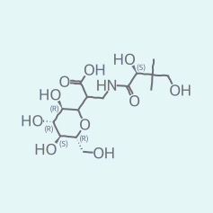 CC(C)(CO)[C@H](O)C(=O)NCC(C(=O)O)C1O[C@H](CO)[C@@H](O)[C@H](O)[C@H]1O